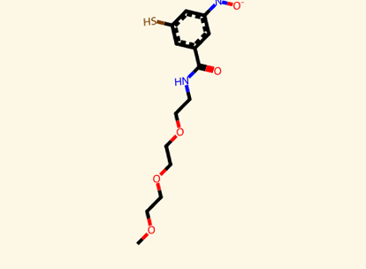 COCCOCCOCCNC(=O)c1cc(S)cc([N+](=O)[O-])c1